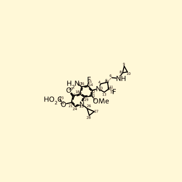 COc1c(N2C[C@H](CNC3CC3)[C@H](F)C2)c(F)c(N)c2c(=O)c(OC(=O)O)cn(C3CC3)c12